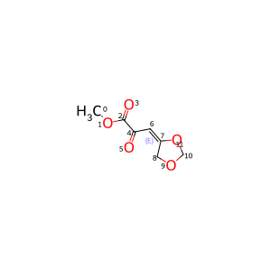 COC(=O)C(=O)/C=C1\COCO1